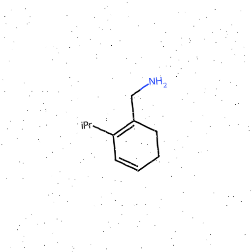 CC(C)C1=C(CN)CCC=C1